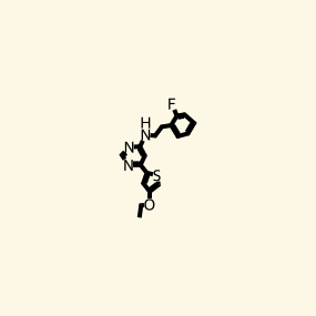 CCOc1csc(-c2cc(NCCc3ccccc3F)ncn2)c1